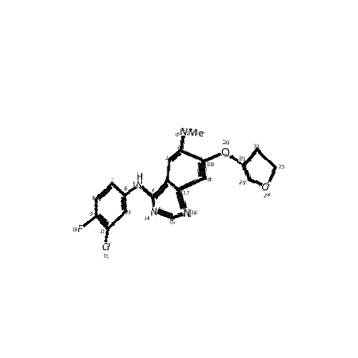 CNc1cc2c(Nc3ccc(F)c(Cl)c3)ncnc2cc1O[C@H]1CCOC1